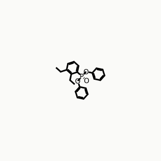 CCc1cccc(P(=O)(Oc2ccccc2)Oc2ccccc2)c1CC